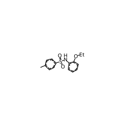 CCOc1ccccc1NS(=O)(=O)c1ccc(C)cc1